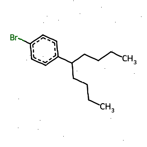 CCCCC(CCCC)c1ccc(Br)cc1